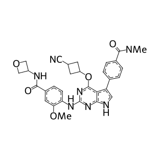 CNC(=O)c1ccc(-c2c[nH]c3nc(Nc4ccc(C(=O)NC5COC5)cc4OC)nc(OC4CC(C#N)C4)c23)cc1